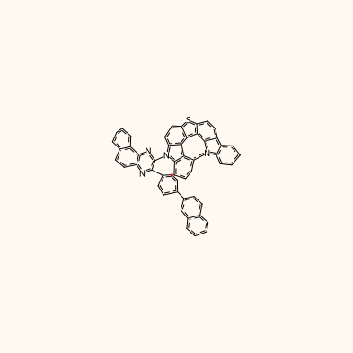 c1ccc2cc(-c3ccc(-c4nc5ccc6ccccc6c5nc4-n4c5ccc6sc7ccc8c9ccccc9n9c%10cccc4c%10c5c6c7c89)cc3)ccc2c1